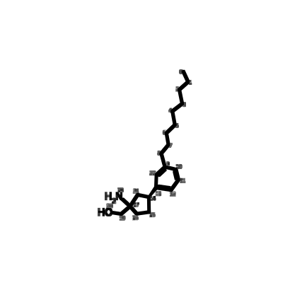 CCCCCCCCCc1cccc([C@H]2CCC(N)(CO)C2)c1